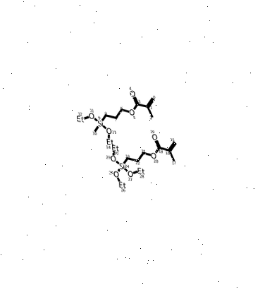 C=C(C)C(=O)OCCC[Si](C)(OCC)OCC.C=C(C)C(=O)OCCC[Si](OCC)(OCC)OCC